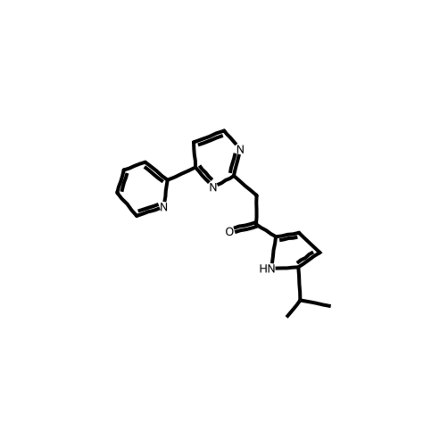 CC(C)c1ccc(C(=O)Cc2nccc(-c3ccccn3)n2)[nH]1